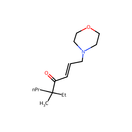 CCCC(C)(CC)C(=O)/C=C/CN1CCOCC1